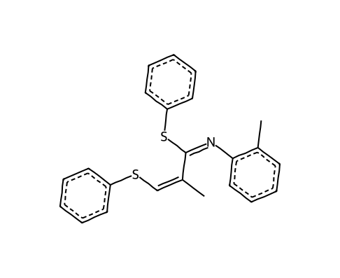 CC(=CSc1ccccc1)C(=Nc1ccccc1C)Sc1ccccc1